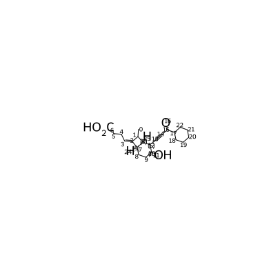 CC1C(=CCCC(=O)O)[C@H]2CC[C@@H](O)[C@H](C#CC(=O)C3CCCCC3)[C@@H]12